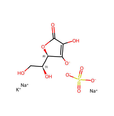 O=C1O[C@H]([C@@H](O)CO)C([O-])=C1O.O=S(=O)([O-])[O-].[K+].[Na+].[Na+]